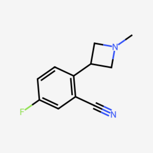 CN1CC(c2ccc(F)cc2C#N)C1